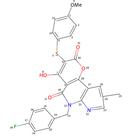 COc1ccc(Sc2c(O)c3c(=O)n(Cc4ccc(F)cc4)c4ncc(C)cc4c3oc2=O)cc1